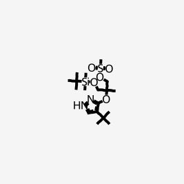 CC(CO[Si](C)(C)C(C)(C)C)(COS(C)(=O)=O)Oc1n[nH]cc1C(C)(C)C